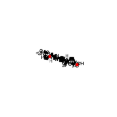 COC(=O)N[C@@H](C)C(=O)N1CCCC1c1ncc(-c2cnc(-c3ccc(-c4[nH]c([C@@H]5CCCN5C(=O)[C@H](C)N(C)C(=O)O)nc4C(F)(F)F)cc3)nc2)[nH]1